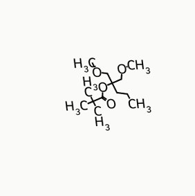 CCCC(COC)(COC)OC(=O)C(C)(C)C